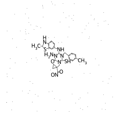 Cc1ccc(CN2C(Nc3ccc4c(c3)SC(C)N4)N(N)C(=O)N(CC3(C(=O)N=O)CC3)C2S)cc1